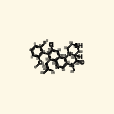 COc1cccc(F)c1-c1c(Cl)cc2c3c(cnc2c1C=C(C)C)N(C)C(=O)[C@H]1CNCCN31